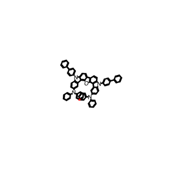 c1ccc(-c2ccc(-n3c4ccc(N(c5ccccc5)c5ccccc5)cc4c4c5oc6c(ccc7c6c6cc(N(c8ccccc8)c8ccccc8)ccc6n7-c6ccc(-c7ccccc7)cc6)c5ccc43)cc2)cc1